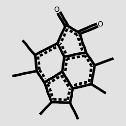 Cc1c(C)c2c(C)c(C)c3c(=O)c(=O)c4c(C)c(C)c1c2c43